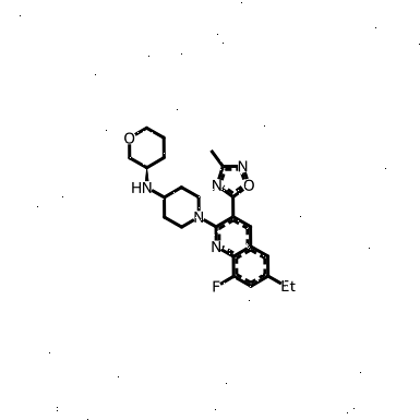 CCc1cc(F)c2nc(N3CCC(N[C@@H]4CCCOC4)CC3)c(-c3nc(C)no3)cc2c1